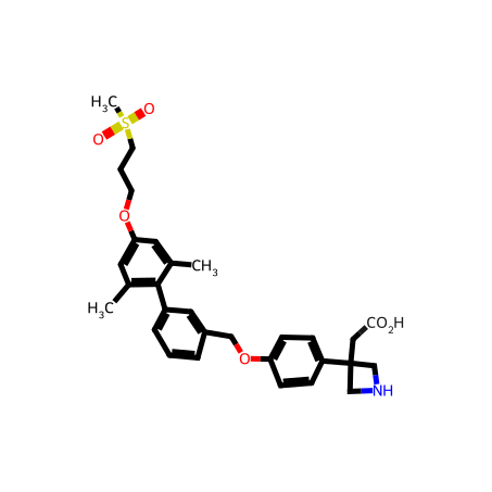 Cc1cc(OCCCS(C)(=O)=O)cc(C)c1-c1cccc(COc2ccc(C3(CC(=O)O)CNC3)cc2)c1